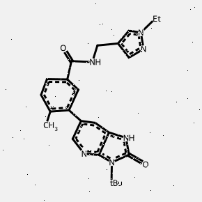 CCn1cc(CNC(=O)c2ccc(C)c(-c3cnc4c(c3)[nH]c(=O)n4C(C)(C)C)c2)cn1